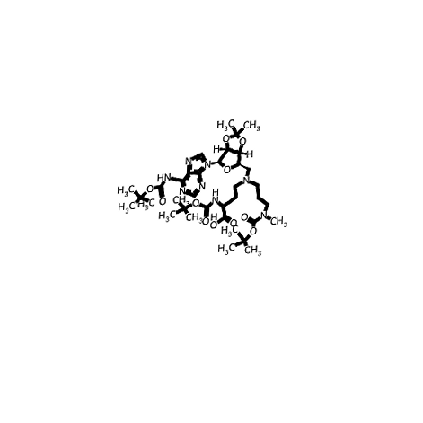 CN(CCCN(CCC(NC(=O)OC(C)(C)C)C(=O)O)C[C@H]1O[C@@H](n2cnc3c(NC(=O)OC(C)(C)C)ncnc32)[C@@H]2OC(C)(C)O[C@@H]21)C(=O)OC(C)(C)C